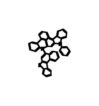 c1ccc(-c2ccccc2N(c2ccc3c4ccccc4n(-c4ccccc4)c3c2)c2cc3sc4ccccc4c3c3ccccc23)cc1